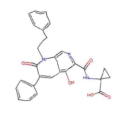 O=C(NC1(C(=O)O)CC1)c1ncc2c(cc(-c3ccccc3)c(=O)n2CCc2ccccc2)c1O